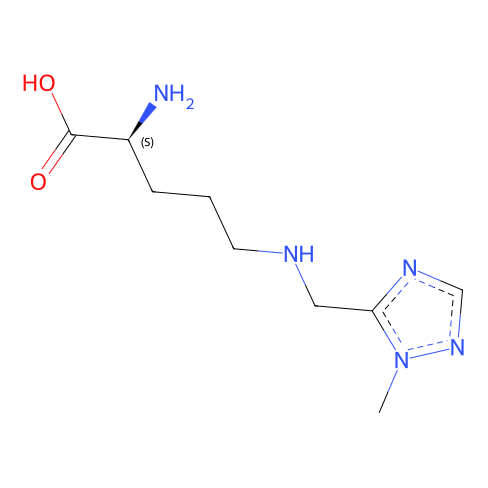 Cn1ncnc1CNCCC[C@H](N)C(=O)O